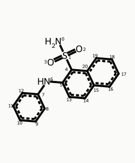 NS(=O)(=O)c1c(Nc2ccccc2)ccc2ccccc12